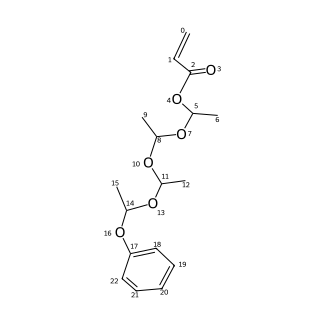 C=CC(=O)OC(C)OC(C)OC(C)OC(C)Oc1ccccc1